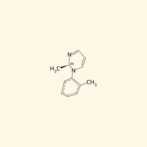 Cc1ccccc1N1C=CC=N[C@@H]1C